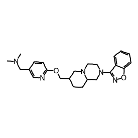 CN(C)Cc1ccc(OCC2CCC3CN(c4noc5ccccc45)CCN3C2)nc1